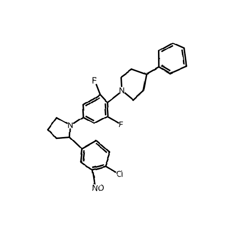 O=Nc1cc(C2CCCN2c2cc(F)c(N3CCC(c4ccccc4)CC3)c(F)c2)ccc1Cl